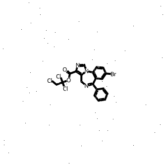 O=C(OC(Cl)(Cl)CCl)c1ncn2c1CN=C(c1ccccc1)c1cc(Br)ccc1-2